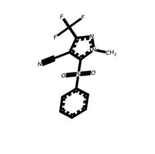 Cn1nc(C(F)(F)F)c(C#N)c1S(=O)(=O)c1ccccc1